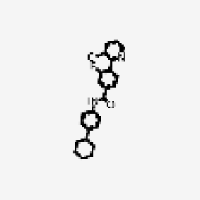 O=C(Nc1ccc(C2CCCCC2)cc1)c1ccc(-c2ncccc2Cl)c(F)c1